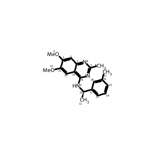 COc1cc2nc(C)nc(N[C@H](C)c3cccc(C)c3)c2cc1OC